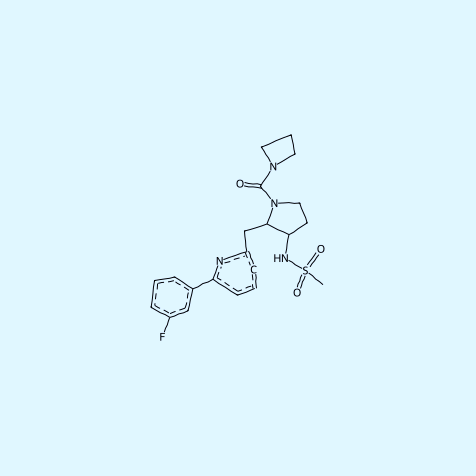 CS(=O)(=O)NC1CCN(C(=O)N2CCC2)C1Cc1cccc(-c2cccc(F)c2)n1